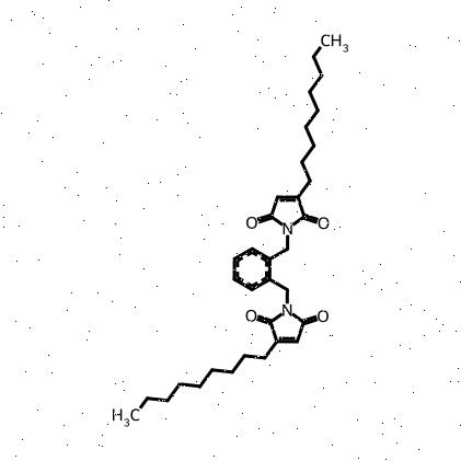 CCCCCCCCCC1=CC(=O)N(Cc2ccccc2CN2C(=O)C=C(CCCCCCCCC)C2=O)C1=O